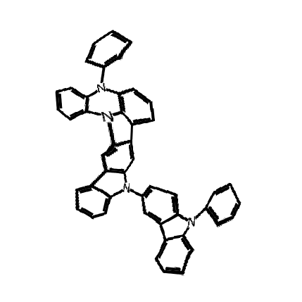 c1ccc(N2c3ccccc3-n3c4cc5c6ccccc6n(-c6ccc7c(c6)c6ccccc6n7-c6ccccc6)c5cc4c4cccc2c43)cc1